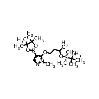 CC(CCOc1c(B2OC(C)(C)C(C)(C)O2)cnn1C)O[Si](C)(C)C(C)(C)C